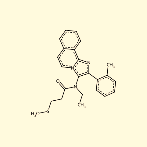 CCN(C(=O)CCSC)c1c(-c2ccccc2C)nc2c3ccccc3ccn12